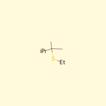 CCSC(C)(C)C(C)C